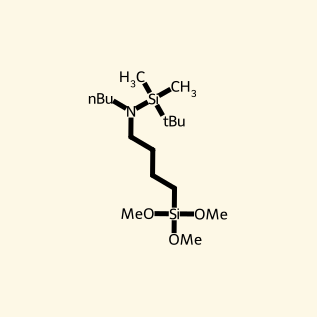 CCCCN(CCCC[Si](OC)(OC)OC)[Si](C)(C)C(C)(C)C